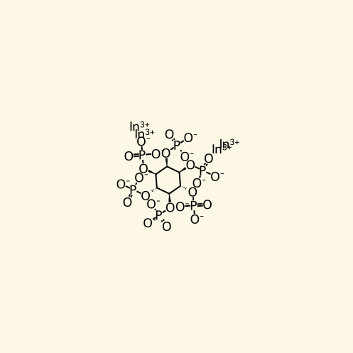 O=P([O-])([O-])O[C@H]1[C@H](OP(=O)([O-])[O-])[C@@H](OP(=O)([O-])[O-])[C@H](OP(=O)([O-])[O-])[C@@H](OP(=O)([O-])[O-])[C@H]1OP(=O)([O-])[O-].[In+3].[In+3].[In+3].[In+3]